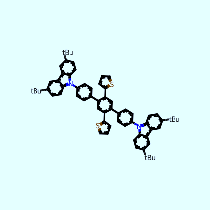 CC(C)(C)c1ccc2c(c1)c1cc(C(C)(C)C)ccc1n2-c1ccc(-c2cc(-c3cccs3)c(-c3ccc(-n4c5ccc(C(C)(C)C)cc5c5cc(C(C)(C)C)ccc54)cc3)cc2-c2cccs2)cc1